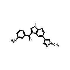 Cn1cc(-c2cnc3[nH]cc(C(=O)c4cccc(N)c4)c3c2)cn1